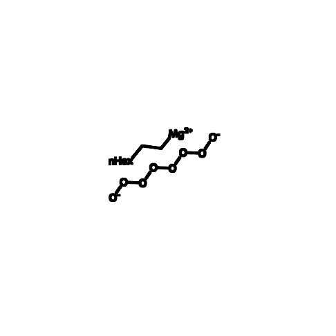 CCCCCCC[CH2][Mg+2].[O-]OOOOOO[O-]